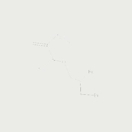 C=C(C=S)C(=O)OCC(Br)CBr